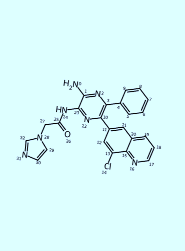 Nc1nc(-c2ccccc2)c(-c2cc(Cl)c3ncccc3c2)nc1NC(=O)Cn1ccnc1